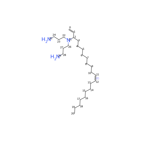 C=CC(CCCCCCCC/C=C\CCCCCCCC)N(CCCN)CCCN